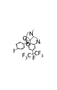 CN1CC2N(C)CCC2(S(=O)(=O)c2ccc(I)cc2)c2ccc(C(F)(C(F)(F)F)C(F)(F)F)cc21